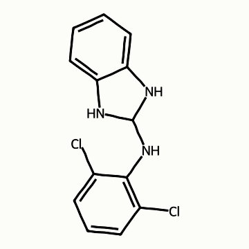 Clc1cccc(Cl)c1NC1Nc2ccccc2N1